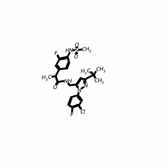 CC(C(=O)NCc1cc(C(C)(C)C)nn1-c1ccc(F)c(Cl)c1)c1ccc(NS(C)(=O)=O)c(F)c1